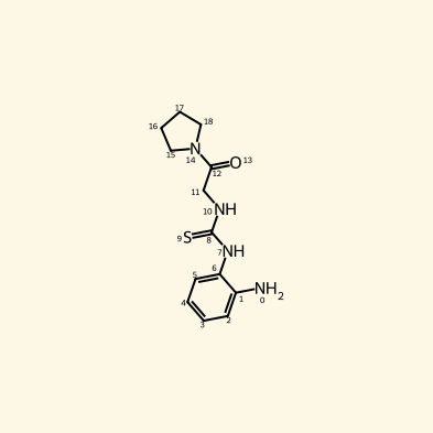 Nc1ccccc1NC(=S)NCC(=O)N1CCCC1